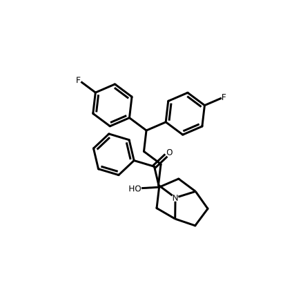 O=C(c1ccccc1)C1(O)CC2CCC(C1)N2CCCC(c1ccc(F)cc1)c1ccc(F)cc1